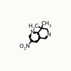 CC1(C)CN=Cc2cc([N+](=O)[O-])cnc21